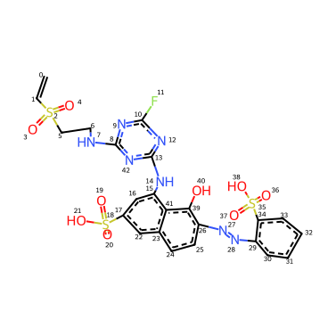 C=CS(=O)(=O)CCNc1nc(F)nc(Nc2cc(S(=O)(=O)O)cc3ccc(N=Nc4ccccc4S(=O)(=O)O)c(O)c23)n1